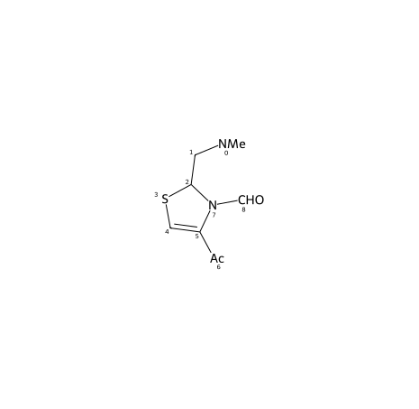 CNCC1SC=C(C(C)=O)N1C=O